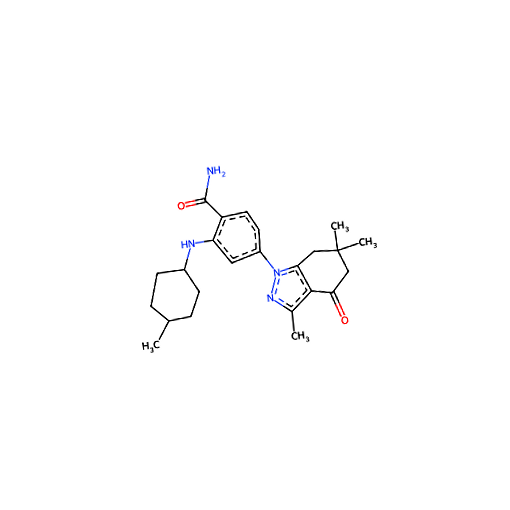 Cc1nn(-c2ccc(C(N)=O)c(NC3CCC(C)CC3)c2)c2c1C(=O)CC(C)(C)C2